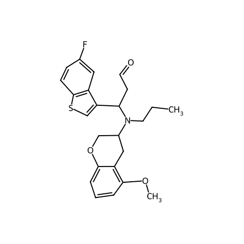 CCCN(C1COc2cccc(OC)c2C1)C(CC=O)c1csc2ccc(F)cc12